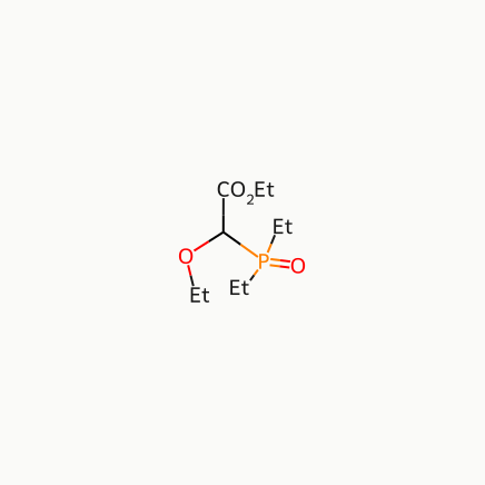 CCOC(=O)C(OCC)P(=O)(CC)CC